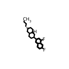 CCCC[C@@H]1CC[C@@H]2CC(c3cc(F)c4cc(F)ccc4c3)CCC2C1